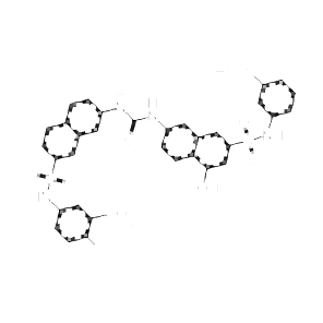 O=C(Nc1ccc2ccc(S(=O)(=O)Nc3ccc(Cl)c(C(=O)O)c3)cc2c1)Nc1ccc2c(O)cc(S(=O)(=O)Nc3cccc(S(=O)(=O)O)c3)cc2c1